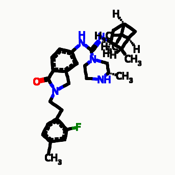 Cc1ccc(CCN2Cc3cc(N/C(=N/[C@H]4C[C@H]5C[C@@H]([C@@H]4C)C5(C)C)N4CCN[C@@H](C)C4)ccc3C2=O)c(F)c1